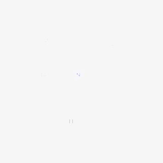 CCCCCCC[N+](CCCC)(CCCCCCC)CCCCCCC.[Br-]